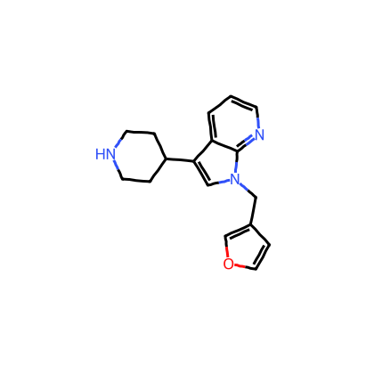 c1cnc2c(c1)c(C1CCNCC1)cn2Cc1ccoc1